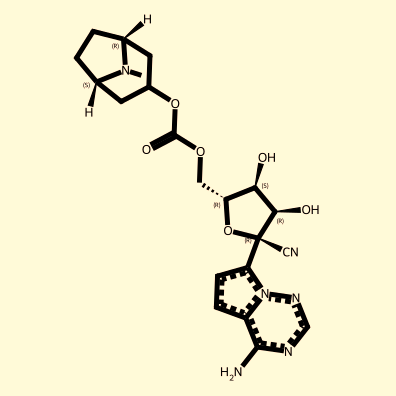 CN1[C@@H]2CC[C@H]1CC(OC(=O)OC[C@H]1O[C@@](C#N)(c3ccc4c(N)ncnn34)[C@H](O)[C@@H]1O)C2